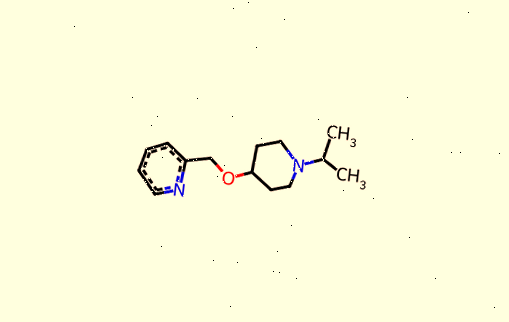 CC(C)N1CCC(OCc2ccccn2)CC1